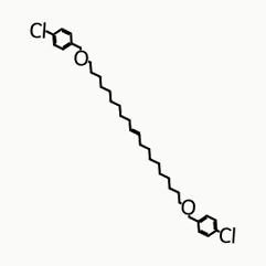 Clc1ccc(COCCCCCCCCCC=CCCCCCCCCCOCc2ccc(Cl)cc2)cc1